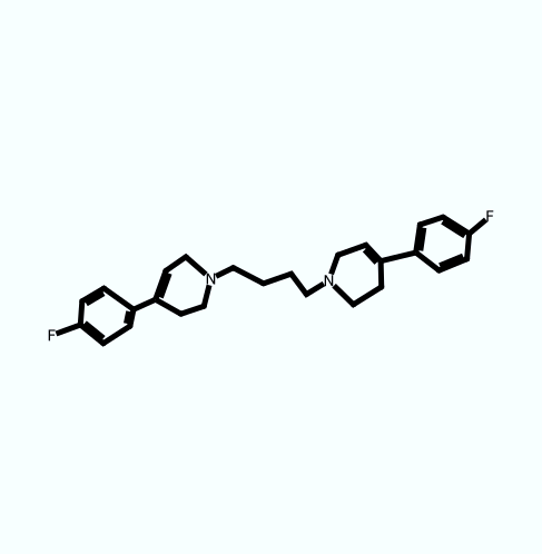 Fc1ccc(C2=CCN(CCCCN3CC=C(c4ccc(F)cc4)CC3)CC2)cc1